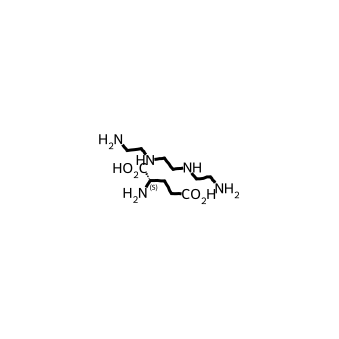 NCCNCCNCCN.N[C@@H](CCC(=O)O)C(=O)O